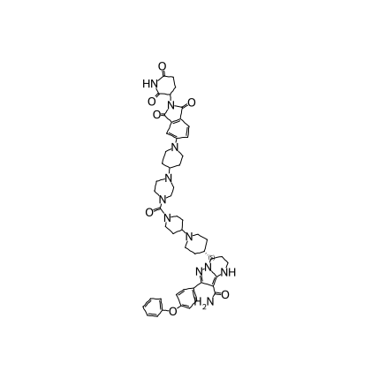 NC(=O)c1c(-c2ccc(Oc3ccccc3)cc2)nn2c1NCC[C@H]2C1CCN(C2CCN(C(=O)N3CCN(C4CCN(c5ccc6c(c5)C(=O)N(C5CCC(=O)NC5=O)C6=O)CC4)CC3)CC2)CC1